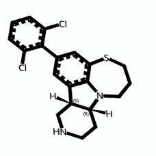 Clc1cccc(Cl)c1-c1cc2c3c(c1)[C@H]1CNCC[C@H]1N3CCCS2